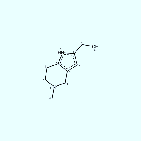 CN1CCc2[nH]c(CO)cc2C1